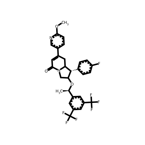 COc1ccc(C2=CC(=O)N3CC(O[C@H](C)c4cc(C(F)(F)F)cc(C(F)(F)F)c4)[C@@H](c4ccc(F)cc4)C3C2)cn1